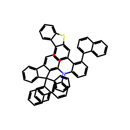 c1ccc(-c2cccc(N(c3cccc(-c4cccc5ccccc45)c3-c3ccc4c(c3)sc3ccccc34)c3cccc4c3C(c3ccccc3)(c3ccccc3)c3ccccc3-4)c2)cc1